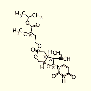 C#C[C@]1(C)[C@@H]2CP(=O)(OCC[C@@H](OC)C(=O)OC(C)C)OC[C@H]2O[C@H]1n1ccc(=O)[nH]c1=O